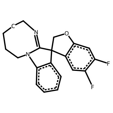 Fc1cc2c(cc1F)C1(CO2)/C2=N/CCCCCN2c2ccccc21